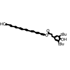 C#CC#CC#CC#CC#CC#CC#CC#COC(=O)CCc1cc(C(C)(C)C)c(O)c(C(C)(C)C)c1